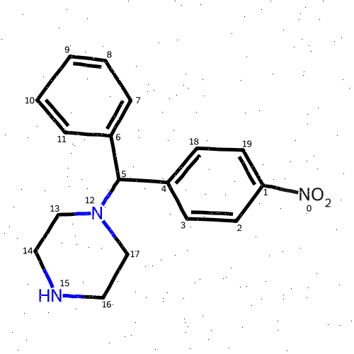 O=[N+]([O-])c1ccc(C(c2ccccc2)N2CCNCC2)cc1